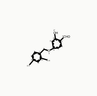 O=Cc1ccc(OCc2ccc(I)cc2I)cc1O